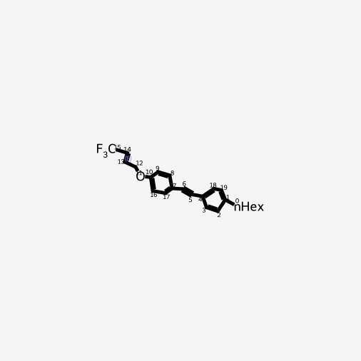 CCCCCCc1ccc(C#Cc2ccc(OC/C=C/C(F)(F)F)cc2)cc1